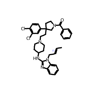 C/C=C/Cn1c(NC2CCN(CCC3(c4ccc(Cl)c(Cl)c4)CCN(C(=O)c4ccccc4)C3)CC2)nc2ccccc21